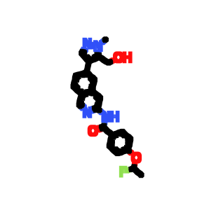 CC(F)Oc1ccc(C(=O)Nc2cc3cc(-c4cnn(C)c4CO)ccc3cn2)cc1